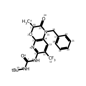 C[C@@H]1Oc2nc(NC(=O)NC(C)(C)C)c(C(F)(F)F)cc2N(Cc2ccccc2)C1=O